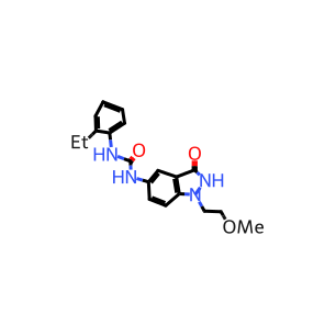 CCc1ccccc1NC(=O)Nc1ccc2c(c1)c(=O)[nH]n2CCOC